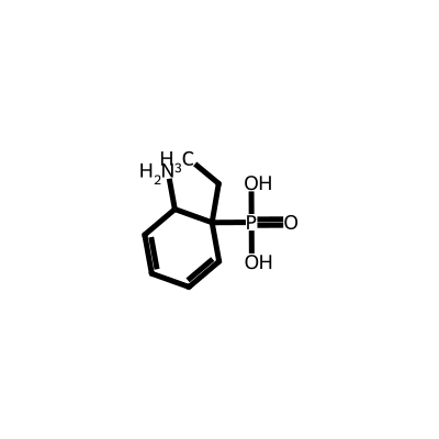 CCC1(P(=O)(O)O)C=CC=CC1N